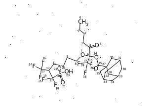 CCCCC(=O)C(OCCCCC(C(F)(F)F)C(F)(F)S(=O)(=O)O)(OC(=O)C12CC3CC(CC(C3)C1)C2)C(F)(F)F